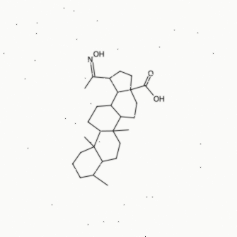 C/C(=N/O)C1CCC2(C(=O)O)CCC3C(CCC4C5(C)CCCC(C)C5CCC34C)C12